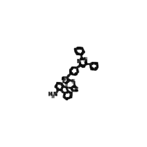 Nc1cccc2c1-c1ccccc1C21c2ccccc2Sc2c(-c3ccc(-c4cc(-c5ccccc5)nc(-c5ccccc5)n4)cc3)cccc21